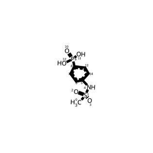 CS(=O)(=O)Nc1ccc(P(=O)(O)O)cc1